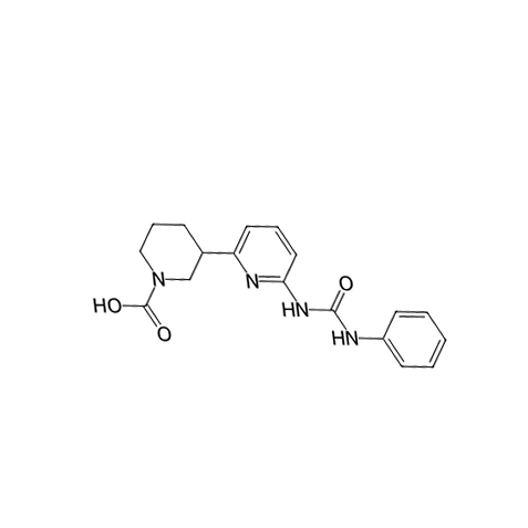 O=C(Nc1ccccc1)Nc1cccc(C2CCCN(C(=O)O)C2)n1